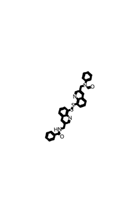 O=CN(Cc1cnc2c(SSc3cccc4cc(CNC(=O)c5ccccc5)cnc34)cccc2c1)c1ccccc1